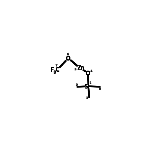 C[Si](C)(C)[O][Zn][O]C(F)(F)F